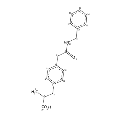 CC(Cc1ccc(CC(=O)NCc2ccccc2)cc1)C(=O)O